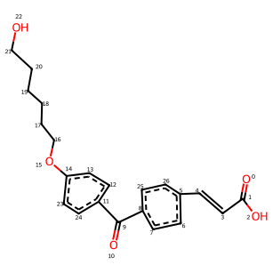 O=C(O)C=Cc1ccc(C(=O)c2ccc(OCCCCCCO)cc2)cc1